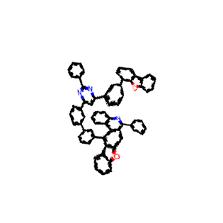 c1ccc(-c2nc(-c3cccc(-c4cccc(-c5c6c(cc7c(-c8ccccc8)nc8ccccc8c57)oc5ccccc56)c4)c3)cc(-c3cccc(-c4cccc5c4oc4ccccc45)c3)n2)cc1